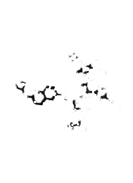 CC1(C)[C@H](NC(=O)/C(=N\O[C@@H](COc2ccc3nc(NC4CNC4)ccc3c2)C(=O)O)c2nsc(N)n2)C(=O)N1OS(=O)(=O)O.O=C(O)C(F)(F)F